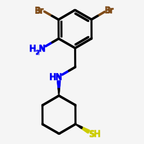 Nc1c(Br)cc(Br)cc1CN[C@@H]1CCC[C@H](S)C1